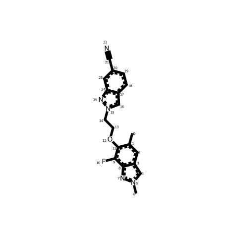 Cc1cc2cn(C)nc2c(F)c1OCCn1cc2ccc(C#N)cc2n1